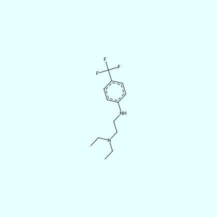 CCN(CC)CCNc1ccc(C(F)(F)F)cc1